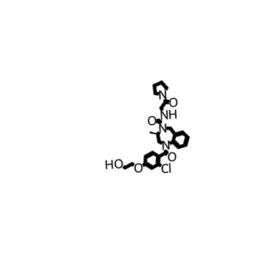 C[C@@H]1CN(C(=O)c2ccc(OCCO)cc2Cl)c2ccccc2CN1C(=O)NCC(=O)N1CCCC1